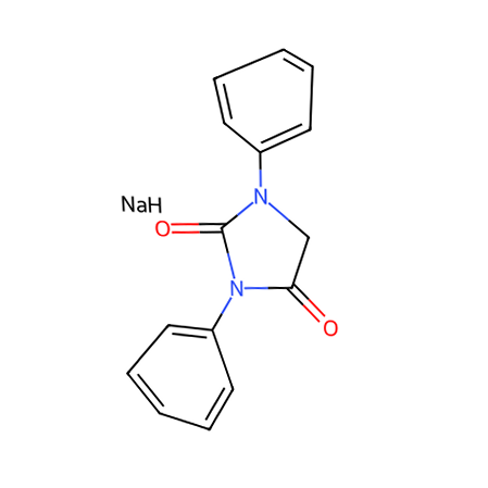 O=C1CN(c2ccccc2)C(=O)N1c1ccccc1.[NaH]